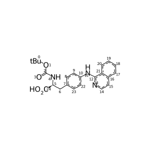 CC(C)(C)OC(=O)N[C@@H](Cc1ccc(Nc2nccc3ccccc23)cc1)C(=O)O